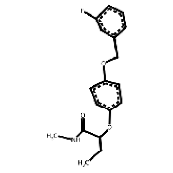 CCC(Oc1ccc(OCc2cccc(F)c2)cc1)C(=O)NC